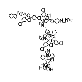 CC(=O)N1CCN(c2ccc(OCC3COC(Cn4ccnc4)(c4ccc(Cl)cc4Cl)O3)cc2)CC1.Cc1cc(C2CCCCC2)n(O)c(=O)c1.Clc1ccc(COC(Cn2ccnc2)c2ccc(Cl)cc2Cl)c(Cl)c1.Clc1ccc(COC(Cn2ccnc2)c2ccc(Cl)cc2Cl)cc1.Clc1ccccc1C(c1ccccc1)(c1ccccc1)n1ccnc1.O=P(O)(O)O.c1ccc2ccccc2c1